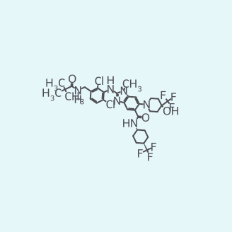 Cn1c(Nc2c(Cl)ccc(CNC(=O)C(C)(C)C)c2Cl)nc2cc(C(=O)N[C@H]3CC[C@H](C(F)(F)F)CC3)c(N3CCC(O)(C(F)(F)F)CC3)cc21